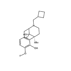 CCCC[C@]12CCN(CC3CCC3)C(Cc3ccc(OF)c(O)c31)C2(C)O